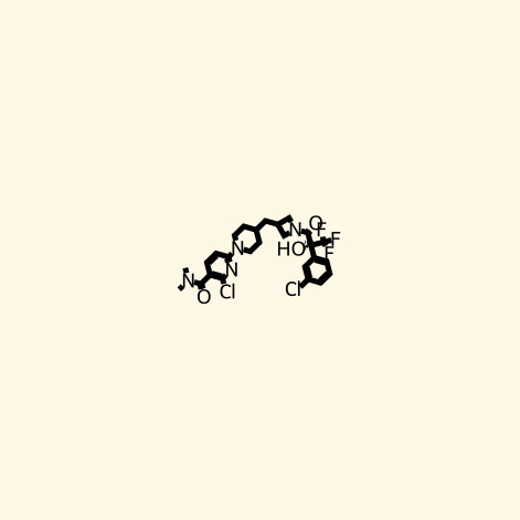 CN(C)C(=O)c1ccc(N2CCC(CC3CN(C(=O)[C@](O)(c4cccc(Cl)c4)C(F)(F)F)C3)CC2)nc1Cl